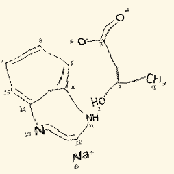 CC(O)C(=O)[O-].[Na+].c1ccc2[nH]cnc2c1